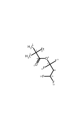 CCC(C)(C)C(=O)OC(F)(F)CC(F)F